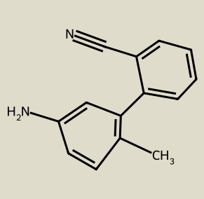 Cc1ccc(N)cc1-c1ccccc1C#N